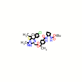 Cc1sc2c(c1C)C(c1ccc(Cl)cc1)=N[C@@H](CC(=O)O[C@H](C)c1ccc(C(=O)Nc3ccccc3NC(=O)OC(C)(C)C)cc1)c1nnc(C)n1-2